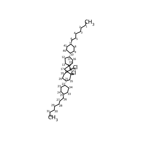 CCCCCCC[C@H]1CC[C@H](C2CCC3(CC2)CC2(CCC([C@H]4CC[C@H](CCCCCCC)CC4)CC2)C3(Cl)Cl)CC1